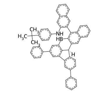 CC(C)(C)c1ccc(Nc2cc3ccccc3cc2-c2c3c(cc4ccccc24)[C@H]2c4ccc(-c5ccccc5)cc4-c4cc(-c5ccccc5)cc(c42)B3)cc1